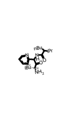 CCCCC(C(=O)NC(C(=O)[C@@H](N)[C@@H](C)CC)c1ccccn1)C(C)C